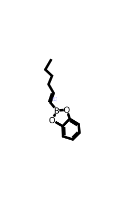 CCCC/C=C/B1Oc2ccccc2O1